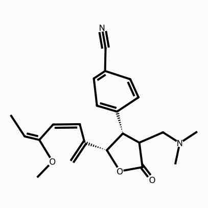 C=C(/C=C\C(=C/C)OC)[C@H]1OC(=O)C(CN(C)C)[C@H]1c1ccc(C#N)cc1